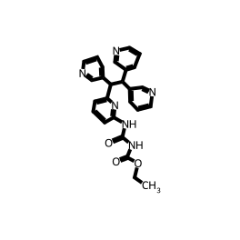 CCOC(=O)NC(=O)Nc1cccc(C(c2cccnc2)C(c2cccnc2)c2cccnc2)n1